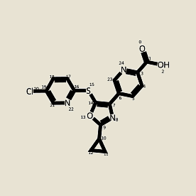 O=C(O)c1ccc(-c2nc(C3CC3)oc2Sc2ccc(Cl)cn2)cn1